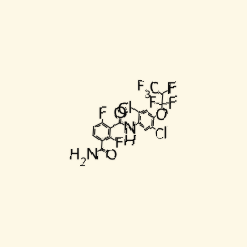 NC(=O)c1ccc(F)c(C(=O)Nc2cc(Cl)c(OC(F)(F)C(F)C(F)(F)F)cc2Cl)c1F